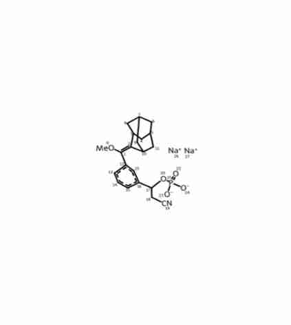 COC(=C1C2CC3CC(C2)CC1C3)c1cccc(C(CC#N)OP(=O)([O-])[O-])c1.[Na+].[Na+]